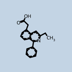 CCc1cc2c(CC(=O)O)cccc2c(-c2ccccc2)n1